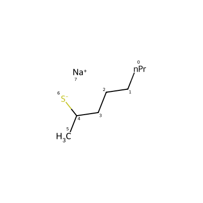 CCCCCCC(C)[S-].[Na+]